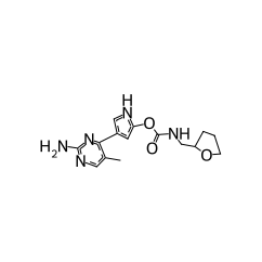 Cc1cnc(N)nc1-c1c[nH]c(OC(=O)NCC2CCCO2)c1